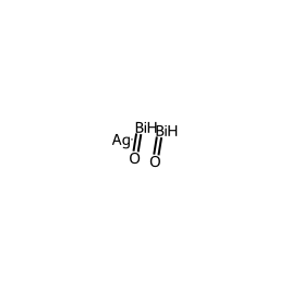 [Ag].[O]=[BiH].[O]=[BiH]